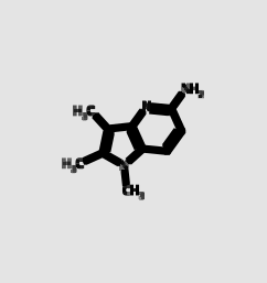 Cc1c(C)n(C)c2ccc(N)nc12